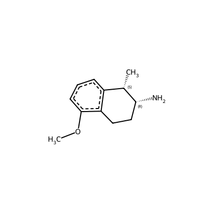 COc1cccc2c1CC[C@@H](N)[C@H]2C